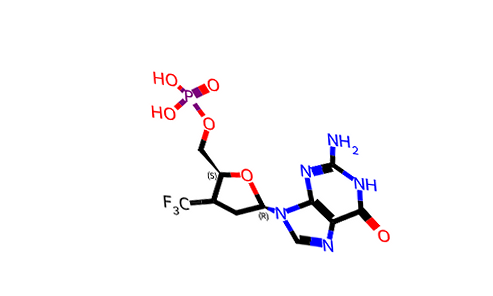 Nc1nc2c(ncn2[C@H]2CC(C(F)(F)F)[C@@H](COP(=O)(O)O)O2)c(=O)[nH]1